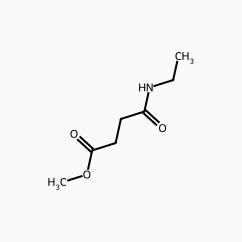 CCNC(=O)CCC(=O)OC